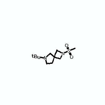 CC(C)(C)N1CCC2(C1)CN(S(C)(=O)=O)C2